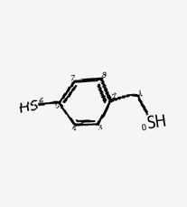 S[CH]c1ccc(S)cc1